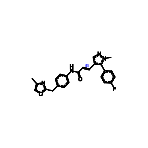 Cc1coc(Cc2ccc(NC(=O)/C=C/c3cnn(C)c3-c3ccc(F)cc3)cc2)n1